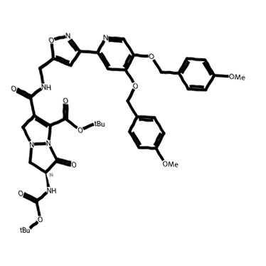 COc1ccc(COc2cnc(-c3cc(CNC(=O)C4=C(C(=O)OC(C)(C)C)N5C(=O)[C@@H](NC(=O)OC(C)(C)C)CN5C4)on3)cc2OCc2ccc(OC)cc2)cc1